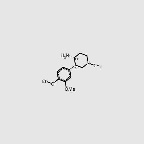 CCOc1ccc([C@H]2CN(C)CC[C@H]2N)cc1OC